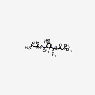 C/C(=N\NC(=O)CN(C)C)c1cccc(/C(C)=N/NC(=O)CN(C)C)n1.Cl.Cl